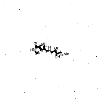 CSC[C@H](O)[C@@H](O)CNCc1c[nH]c2c(=O)[nH]cnc12